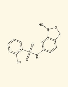 N#Cc1ccccc1S(=O)(=O)Nc1ccc2c(c1)B(O)OC2